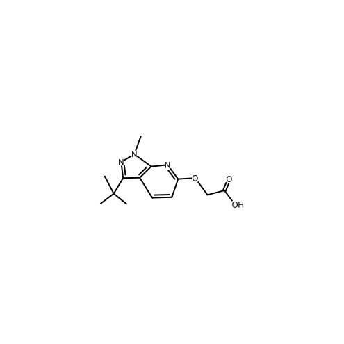 Cn1nc(C(C)(C)C)c2ccc(OCC(=O)O)nc21